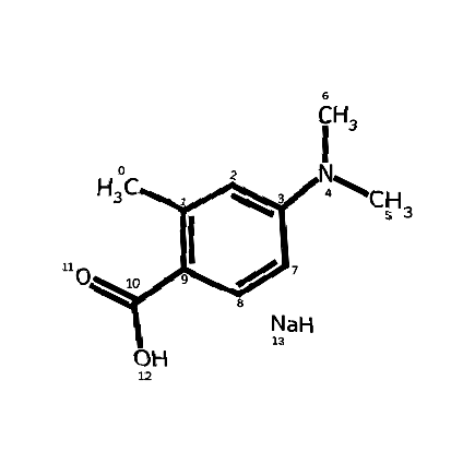 Cc1cc(N(C)C)ccc1C(=O)O.[NaH]